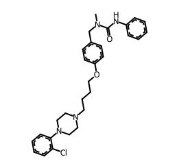 CN(Cc1ccc(OCCCCN2CCN(c3ccccc3Cl)CC2)cc1)C(=O)Nc1ccccc1